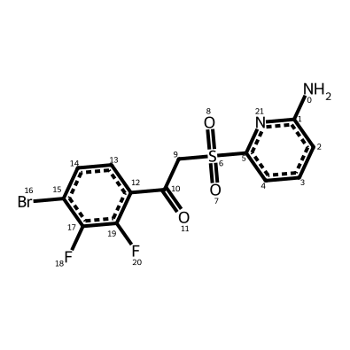 Nc1cccc(S(=O)(=O)CC(=O)c2ccc(Br)c(F)c2F)n1